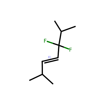 CC(C)/C=C/C(F)(F)C(C)C